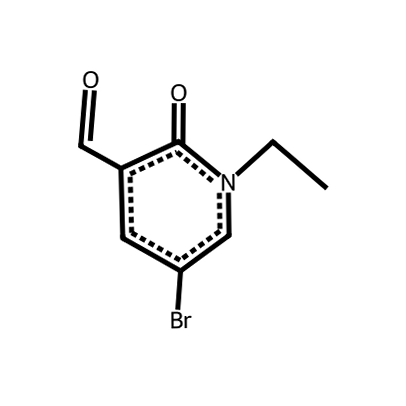 CCn1cc(Br)cc(C=O)c1=O